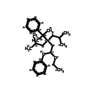 CCOC(C[N+](CC(C)C)(CC(C)C)C(C)(C)c1ccccc1)Oc1ccccc1